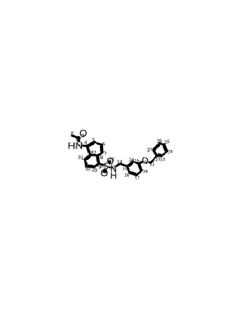 CC(=O)Nc1cccc2c(S(=O)(=O)NCc3cccc(OCc4ccccc4)c3)cccc12